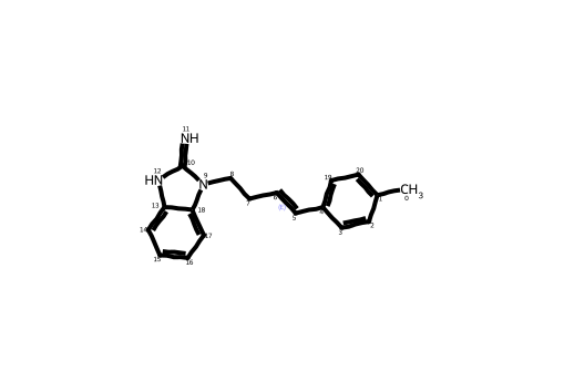 Cc1ccc(/C=C/CCn2c(=N)[nH]c3ccccc32)cc1